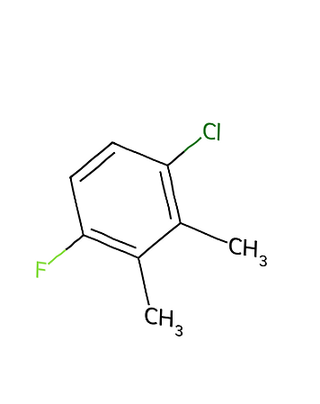 Cc1c(F)ccc(Cl)c1C